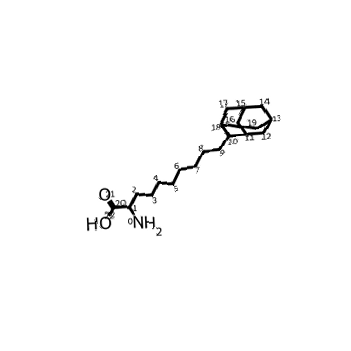 NC(CCCCCCCCC1C2CC3CC(C2)CC1C3)C(=O)O